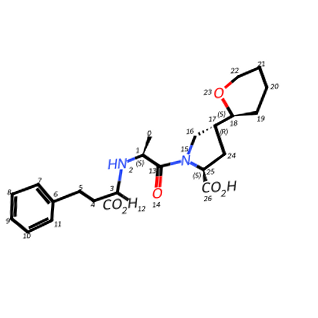 C[C@H](NC(CCc1ccccc1)C(=O)O)C(=O)N1C[C@H]([C@@H]2CCCCO2)C[C@H]1C(=O)O